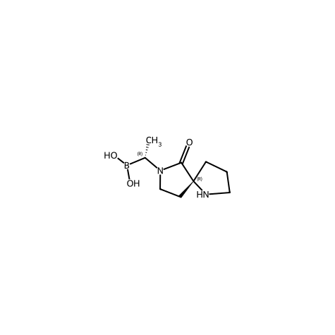 C[C@@H](B(O)O)N1CC[C@]2(CCCN2)C1=O